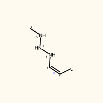 C/C=C\NNNC